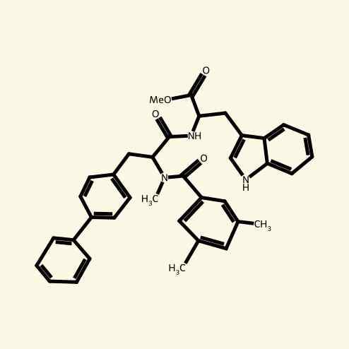 COC(=O)C(Cc1c[nH]c2ccccc12)NC(=O)C(Cc1ccc(-c2ccccc2)cc1)N(C)C(=O)c1cc(C)cc(C)c1